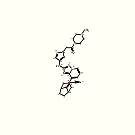 CN1CCN(C(=O)Cn2cc(Nc3nc4c(N5CC6CCC(C5)C6=CC#N)cccn4n3)cn2)CC1